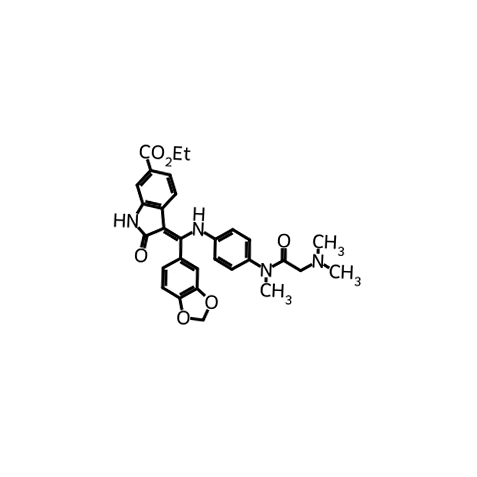 CCOC(=O)c1ccc2c(c1)NC(=O)C2=C(Nc1ccc(N(C)C(=O)CN(C)C)cc1)c1ccc2c(c1)OCO2